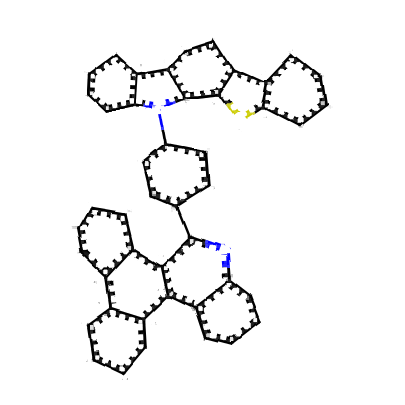 c1ccc2c(c1)nc(-c1ccc(-n3c4ccccc4c4ccc5c6ccccc6sc5c43)cc1)c1c3ccccc3c3ccccc3c21